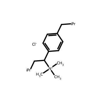 CC(C)Cc1ccc(C(CC(C)C)[N+](C)(C)C)cc1.[Cl-]